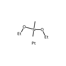 CCO[Si](C)(C)OCC.[Pt]